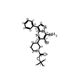 CC(C)(C)OC(=O)N1CCCC(c2nc3c(-c4ccccc4)cnn3c(N)c2Br)C1